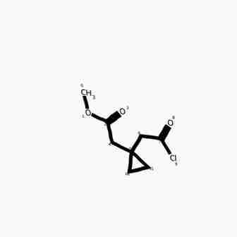 COC(=O)CC1(CC(=O)Cl)CC1